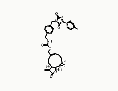 C=C1C(=O)O[C@H]2[C@H]1CC/C(COC(=O)NCc1ccc(Cn3c(=O)sn(-c4ccc(C)cc4)c3=O)cc1)=C\CC[C@@]1(C)O[C@@H]21